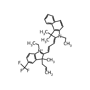 C=CCC1(C)C(/C=C/C=C2/N(CC)c3ccc4ccccc4c3C2(C)C)=[N+](CC)c2ccc(C(F)(F)F)cc21